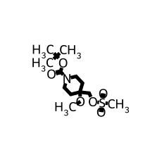 COC1(COS(C)(=O)=O)CCN(C(=O)OC(C)(C)C)CC1